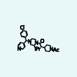 CC(=O)N1CCC(CC(=O)N2CCN(C(c3ccncc3)c3ccc(Cl)cc3)C[C@@H]2C(C)C)CC1